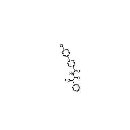 O=C(NC(=O)[C@H](O)c1ccccc1)c1ccc(-c2ccc(Cl)cc2)cc1